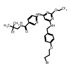 CCC(C)(C)CNC(=O)c1ccc(Nc2cc(NCc3ccc(OCCCBr)cc3)nc(OCC(F)(F)F)n2)nc1